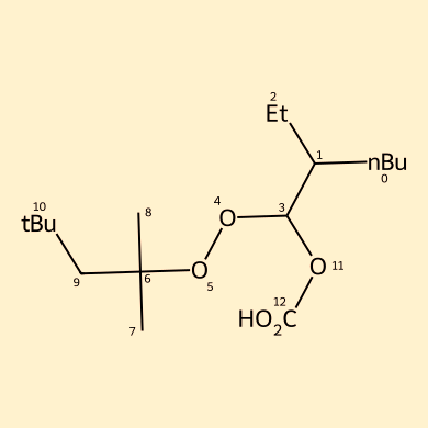 CCCCC(CC)C(OOC(C)(C)CC(C)(C)C)OC(=O)O